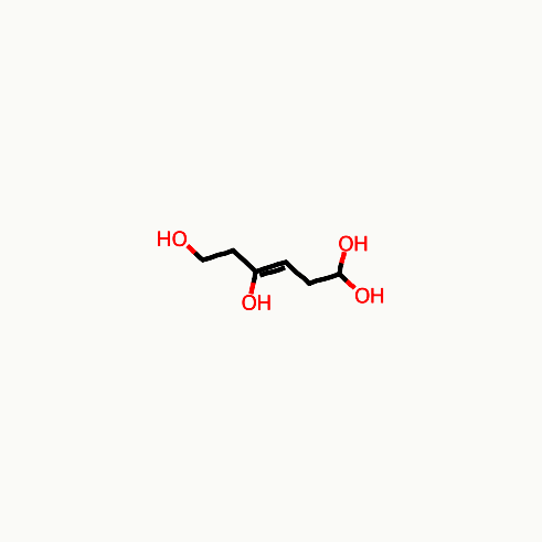 OCCC(O)=CCC(O)O